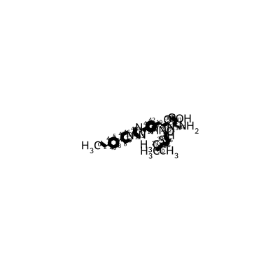 CCC[C@H]1CC[C@H](C2CCN(c3cnc(-c4ccc(C[C@H](NC(=O)c5ccc(C(C)(C)C)s5)C(=O)N[C@H](CN)C(=O)O)cc4)nc3)CC2)CC1